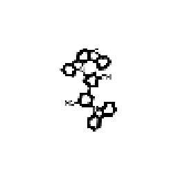 N#Cc1cc(-c2cc(C#N)cc(-n3c4ccccc4c4ccc5oc6ccccc6c5c43)c2)cc(-n2c3ccccc3c3ccccc32)c1